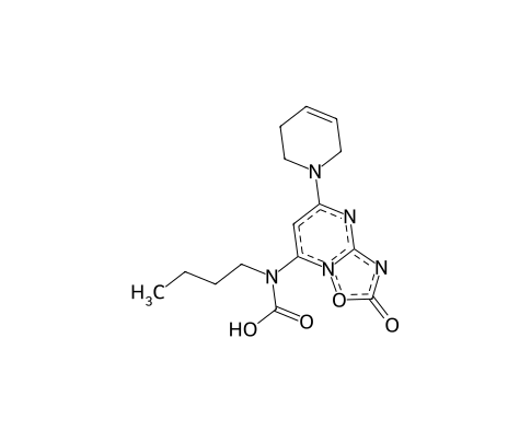 CCCCN(C(=O)O)c1cc(N2CC=CCC2)nc2nc(=O)on12